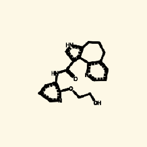 O=C(Nc1cccnc1OCCO)c1c[nH]c2c1-c1ncccc1CCC2